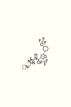 O=C(Nc1nc(CN2CCCC2)ns1)c1cc(-c2cccc(OC(F)(F)F)c2)oc1C(F)(F)F